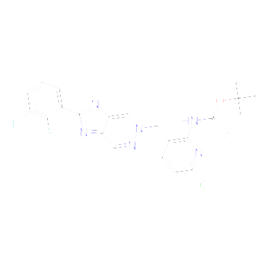 CC(C)(C)OC(=O)Nc1nc(Cl)ccc1Cn1cc2nc(-c3cccc(F)c3F)nc-2cn1